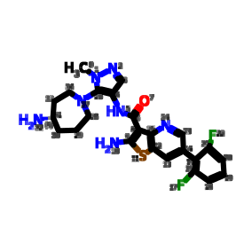 Cn1ncc(NC(=O)c2c(N)sc3cc(-c4c(F)cccc4F)cnc23)c1N1CCC[C@H](N)CC1